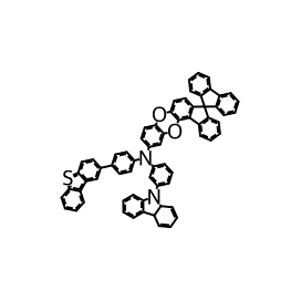 C1=CC2c3ccccc3N(c3cccc(N(c4ccc(-c5ccc6sc7ccccc7c6c5)cc4)c4ccc5c(c4)Oc4c(ccc6c4-c4ccccc4C64c6ccccc6-c6ccccc64)O5)c3)C2C=C1